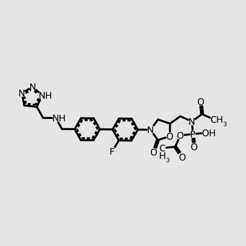 CC(=O)OP(=O)(O)N(CC1CN(c2ccc(-c3ccc(CNCc4cnn[nH]4)cc3)c(F)c2)C(=O)O1)C(C)=O